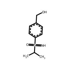 CC(C)S(=N)(=O)c1ccc(CO)cc1